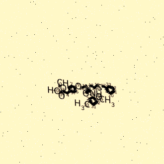 CCOC(Cc1ccc(OCCN(CCCSCc2ccccc2)C(=O)Nc2cc(C)ccc2OC)cc1)C(=O)O